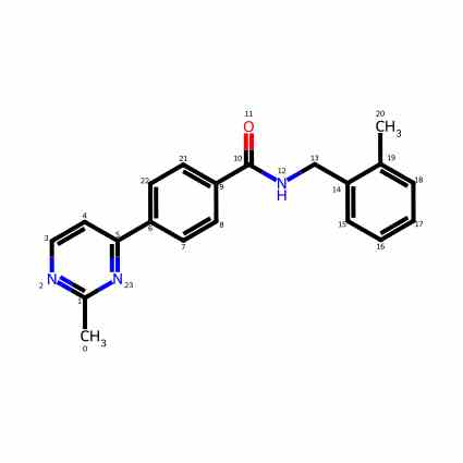 Cc1nccc(-c2ccc(C(=O)NCc3ccccc3C)cc2)n1